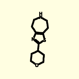 C1Cc2nc(C3CCOCC3)sc2CCN1